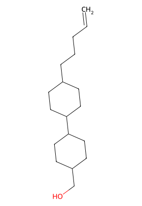 C=CCCCC1CCC(C2CCC(CO)CC2)CC1